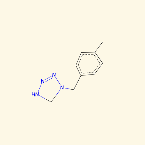 Cc1ccc(CN2CNN=N2)cc1